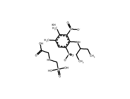 CCC(CC)Nc1c([N+](=O)[O-])cc(C)c(C)c1[N+](=O)[O-].O=C(O)CNCP(=O)(O)O.[KH]